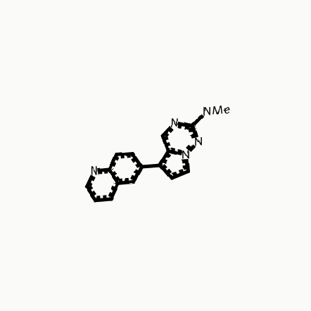 CNc1ncc2c(-c3ccc4ncccc4c3)ccn2n1